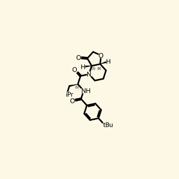 CC(C)C[C@H](NC(=O)c1ccc(C(C)(C)C)cc1)C(=O)N1CCC[C@H]2OCC(=O)[C@H]21